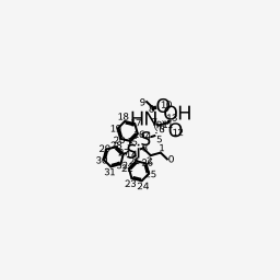 CCCC(SC[C@H](NC(C)=O)C(=O)O)[Si](c1ccccc1)(c1ccccc1)c1ccccc1